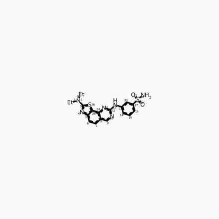 CCN(CC)c1nc2ccc3cnc(Nc4cccc(S(N)(=O)=O)c4)nc3c2s1